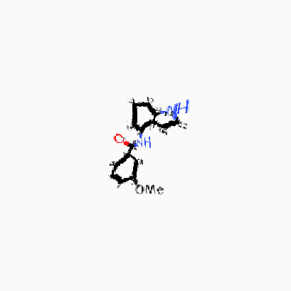 COc1cccc(C(=O)Nc2cccc3[nH]ccc23)c1